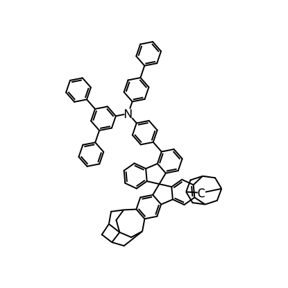 c1ccc(-c2ccc(N(c3ccc(-c4cccc5c4-c4ccccc4C54c5cc6c(cc5-c5cc7c(cc54)C4CC5CC8CC7CC85C4)C4CC5CC(C4)CC6C5)cc3)c3cc(-c4ccccc4)cc(-c4ccccc4)c3)cc2)cc1